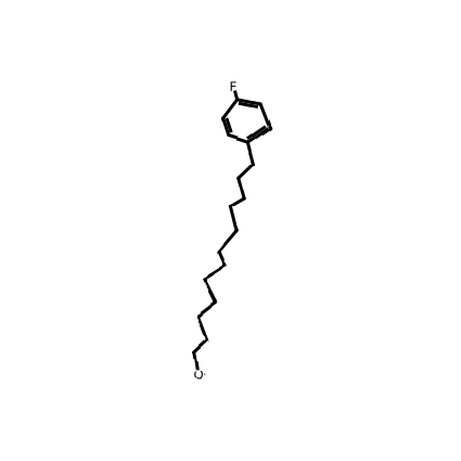 [O]CCCCCCCCCCCCc1ccc(F)cc1